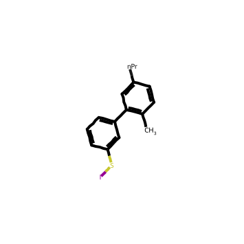 CCCc1ccc(C)c(-c2cccc(SI)c2)c1